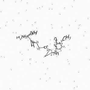 Cn1ccc(NC2CC2OCCNC(=N)N)nc1=O